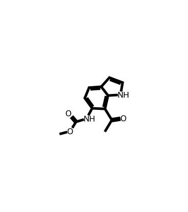 COC(=O)Nc1ccc2cc[nH]c2c1C(C)=O